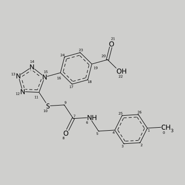 Cc1ccc(CNC(=O)CSc2nnnn2-c2ccc(C(=O)O)cc2)cc1